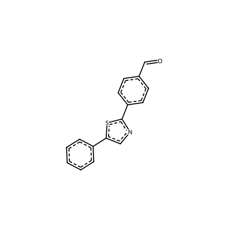 O=Cc1ccc(-c2ncc(-c3ccccc3)s2)cc1